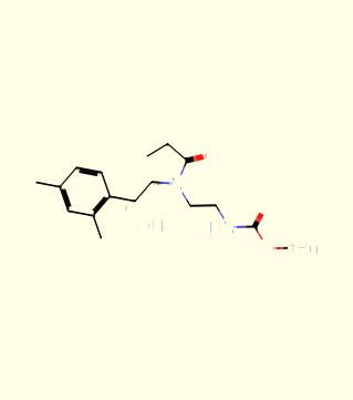 Cc1ccc([C@@H](O)[C@@H]2CCC(=O)N2CCNC(=O)OC(C)(C)C)c(C)c1